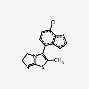 CC1=C(c2ccc(Cl)c3sccc23)N2CCN=C2S1